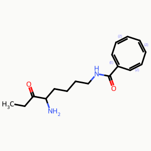 CCC(=O)C(N)CCCCNC(=O)C1=C/C=C\C=C/C=C\1